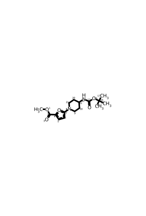 COC(=O)c1ccc(N2CCC(NC(=O)OC(C)(C)C)CC2)o1